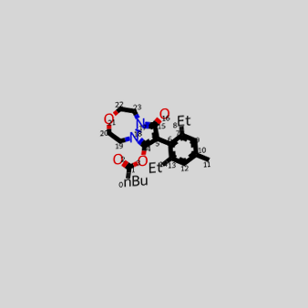 CCCCC(=O)Oc1c(-c2c(CC)cc(C)cc2CC)c(=O)n2n1CCOCC2